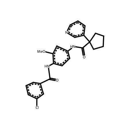 COc1cc(NC(=O)C2(c3cccnc3)CCCC2)ccc1NC(=O)c1cccc(Cl)c1